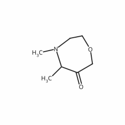 CC1C(=O)COCCN1C